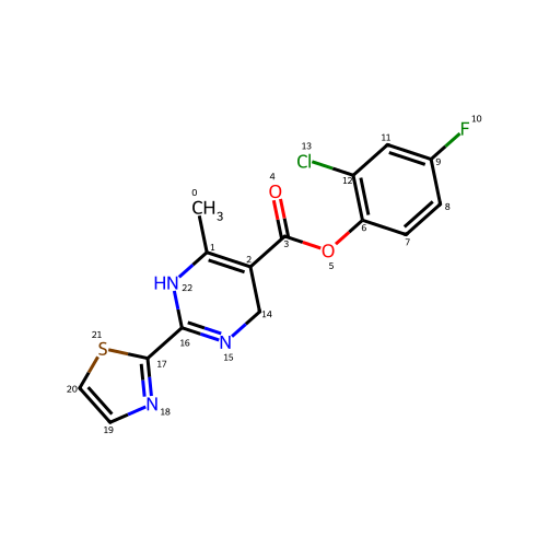 CC1=C(C(=O)Oc2ccc(F)cc2Cl)CN=C(c2nccs2)N1